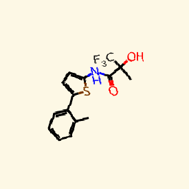 Cc1ccccc1-c1ccc(NC(=O)C(C)(O)C(F)(F)F)s1